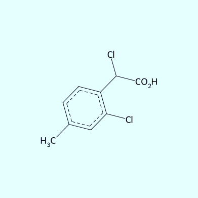 Cc1ccc(C(Cl)C(=O)O)c(Cl)c1